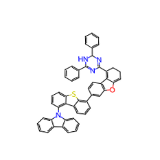 C1=c2oc3cc(-c4cccc5c4sc4cccc(-n6c7ccccc7c7ccccc76)c45)ccc3c2=C(C2=NC(c3ccccc3)NC(c3ccccc3)=N2)CC1